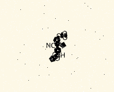 N#Cc1c(-c2ccc(NS(=O)(=O)C3CCCC3)cc2)n(C2CCC2)c2cc(OC3COCOC3)ccc12